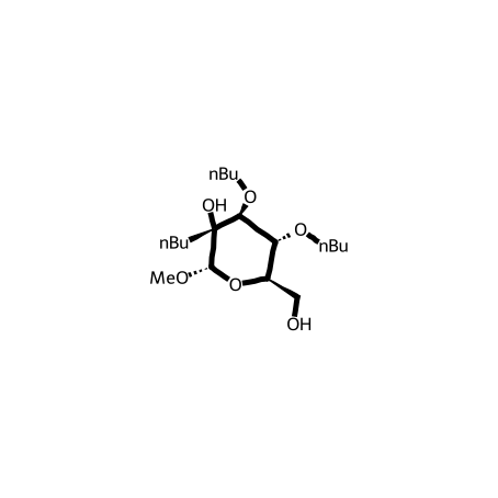 CCCCO[C@@H]1[C@@H](CO)O[C@H](OC)[C@@](O)(CCCC)[C@H]1OCCCC